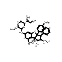 COc1ccc(C23Oc4cc(O[C@@H]5O[C@@H](C(O)CO)CO[C@H]5OC)cc(OC)c4C2(O)[C@@H](O)C(C(=O)O)C3c2ccccc2)cc1